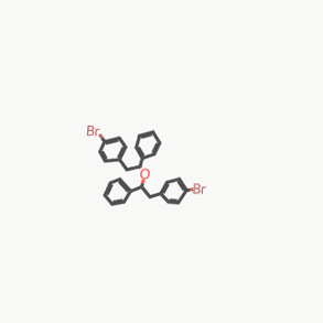 Brc1ccc(CC(OC(Cc2ccc(Br)cc2)c2ccccc2)c2ccccc2)cc1